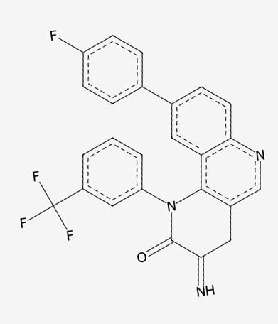 N=C1Cc2cnc3ccc(-c4ccc(F)cc4)cc3c2N(c2cccc(C(F)(F)F)c2)C1=O